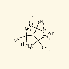 CC(C)(C)P(C(C)(C)C)C(C)(C)C.[I+].[Pd+]